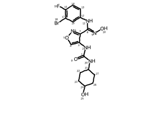 O=C(Nc1conc1/C(=N/O)Nc1ccc(F)c(Br)c1)NC1CCC(O)CC1